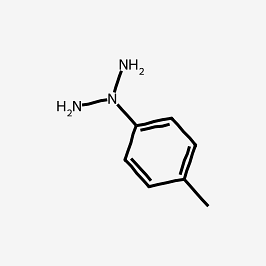 Cc1ccc(N(N)N)cc1